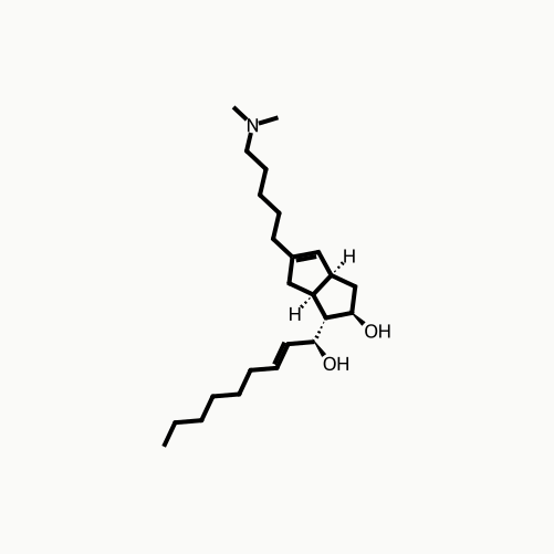 CCCCCC/C=C/[C@H](O)[C@@H]1[C@H]2CC(CCCCCN(C)C)=C[C@H]2C[C@H]1O